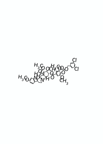 COC(=O)[C@H]1[C@H]2C[C@@H]3c4[nH]c5cc(OC)ccc5c4CCN3C[C@H]2C[C@@H](OC(=O)c2cc(OC)c(OC(=O)OCc3cc(Cl)cc(Cl)c3)c(OC)c2)[C@@H]1OC